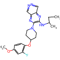 CCC(C)Nc1nc2cnncc2nc1N1CCC(Oc2ccc(OC)cc2F)CC1